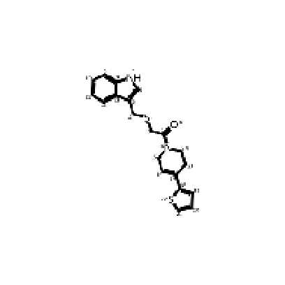 O=C(CSCc1c[nH]c2ccccc12)N1CC=C(c2cccs2)CC1